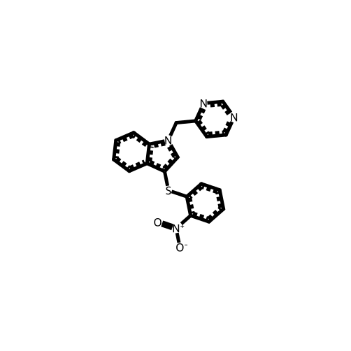 O=[N+]([O-])c1ccccc1Sc1cn(Cc2ccncn2)c2ccccc12